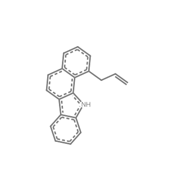 C=CCc1cccc2ccc3c4ccccc4[nH]c3c12